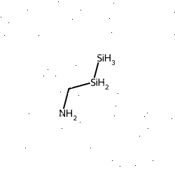 NC[SiH2][SiH3]